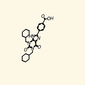 O=C(O)c1ccc(-c2nc3c(=O)n(CC4CCCCC4)c(=O)n(CC4CCCCC4)c3[nH]2)cc1